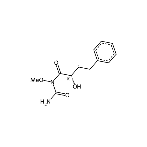 CON(C(N)=O)C(=O)[C@@H](O)[CH]Cc1ccccc1